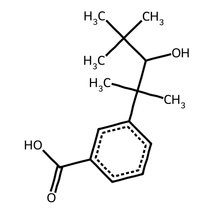 CC(C)(C)C(O)C(C)(C)c1cccc(C(=O)O)c1